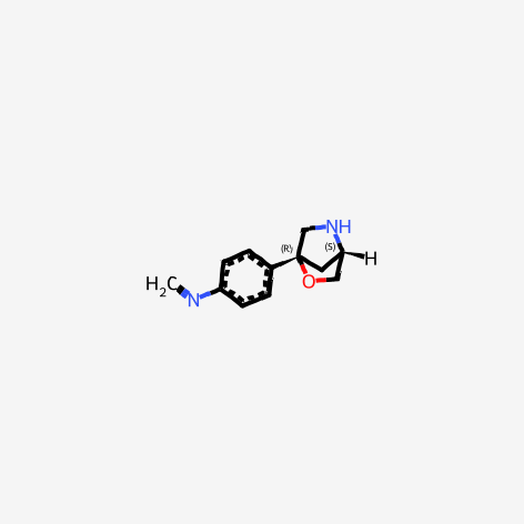 C=Nc1ccc([C@]23CN[C@H](CO2)C3)cc1